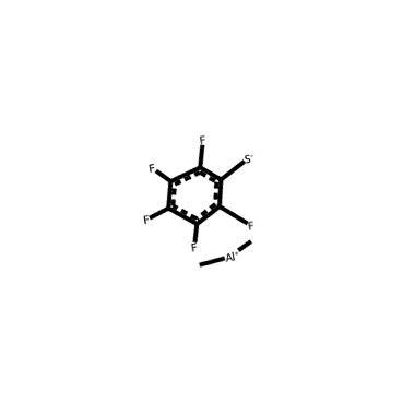 Fc1c(F)c(F)c([S-])c(F)c1F.[CH3][Al+][CH3]